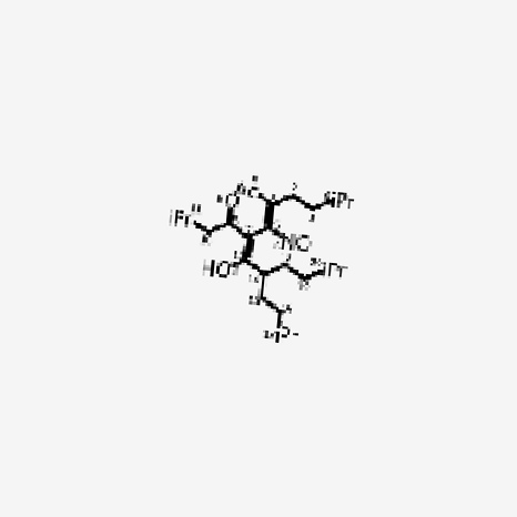 CC(=O)/C(CCC(C)C)=C(N=O)\C(C(=O)CC(C)C)=C(\O)C(CCC(C)C)CCC(C)C